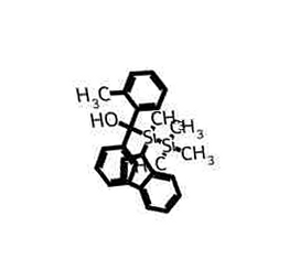 Cc1ccccc1C(O)(c1ccccc1)[Si](C)(C1C=Cc2ccccc21)[Si](C)(C)C